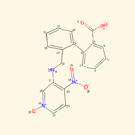 O=C(O)c1ccccc1-c1ccccc1CNc1c[n+]([O-])ccc1[N+](=O)[O-]